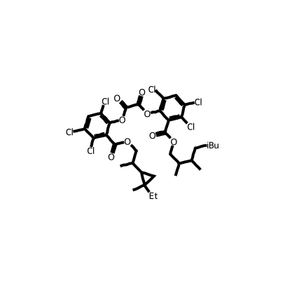 CCC(C)CC(C)C(C)COC(=O)c1c(Cl)c(Cl)cc(Cl)c1OC(=O)C(=O)Oc1c(Cl)cc(Cl)c(Cl)c1C(=O)OCC(C)C1CC1(C)CC